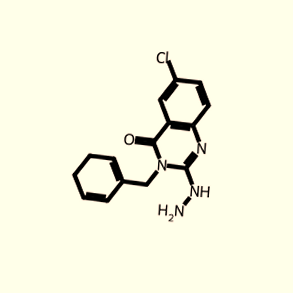 NNc1nc2ccc(Cl)cc2c(=O)n1CC1=CCCC=C1